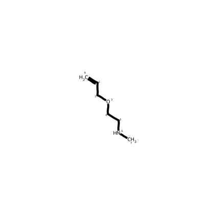 C=CCOCCNC